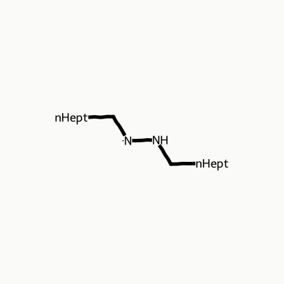 CCCCCCCC[N]NCCCCCCCC